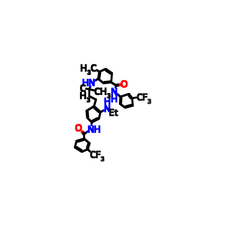 CCNc1cc(NC(=O)c2cccc(C(F)(F)F)c2)ccc1CCC(C)(C)Nc1cc(C(=O)Nc2cccc(C(F)(F)F)c2)ccc1C